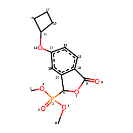 COP(=O)(OC)C1OC(=O)c2ccc(OC3CCC3)cc21